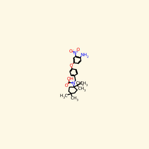 CC1(C)CCC(N(Cc2ccc(Oc3ccc(N)c([N+](=O)[O-])c3)cc2)C(=O)O)(C(C)(C)C)CC1